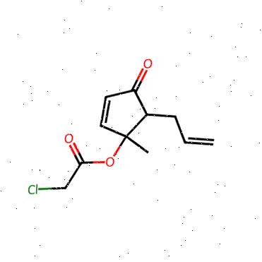 C=CCC1C(=O)C=CC1(C)OC(=O)CCl